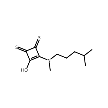 CC(C)CCCN(C)c1c(O)c(=S)c1=S